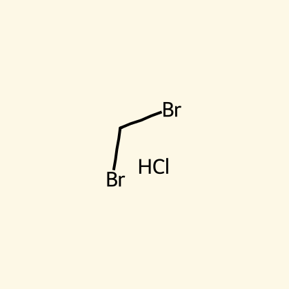 BrCBr.Cl